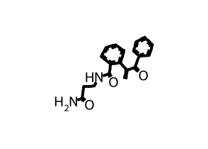 C=C(C(=O)c1ccccc1)c1ccccc1C(=O)NCCC(N)=O